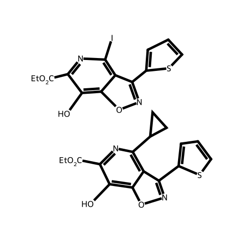 CCOC(=O)c1nc(C2CC2)c2c(-c3cccs3)noc2c1O.CCOC(=O)c1nc(I)c2c(-c3cccs3)noc2c1O